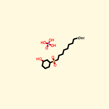 CCCCCCCCCCCCCCCCCCS(=O)(=O)C1CCCC(O)C1.O=P(O)(O)O